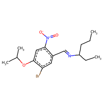 CCCC(CC)N=Cc1cc(Br)c(OC(C)C)cc1[N+](=O)[O-]